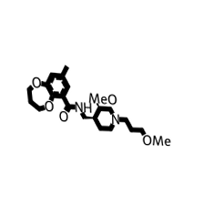 COCCCN1CC[C@@H](CNC(=O)c2cc(C)cc3c2OCCCO3)[C@H](OC)C1